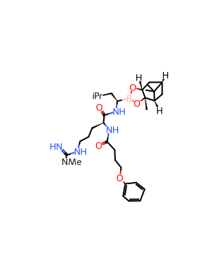 CNC(=N)NCCC[C@H](NC(=O)CCCOc1ccccc1)C(=O)N[C@@H](CC(C)C)B1O[C@@H]2C[C@@H]3C[C@@H](C3(C)C)[C@]2(C)O1